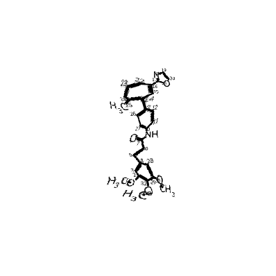 COc1cc(C=CC(=O)Nc2ccc(-c3cc(-c4ncco4)ccc3C)cc2)cc(OC)c1OC